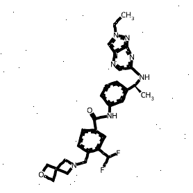 CCn1cc2ncc(N[C@@H](C)c3cccc(NC(=O)c4ccc(CN5CC6(COC6)C5)c(C(F)F)c4)c3)nc2n1